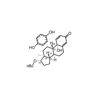 CCCCO[C@H]1CC[C@H]2[C@@H]3CCC4=CC(=O)C=C[C@]4(O)[C@H]3CC[C@]12C.Oc1ccc(O)cc1